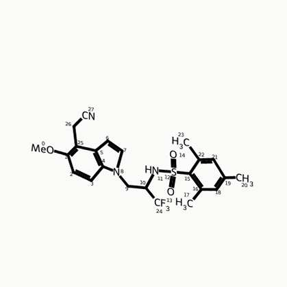 COc1ccc2c(ccn2CC(NS(=O)(=O)c2c(C)cc(C)cc2C)C(F)(F)F)c1CC#N